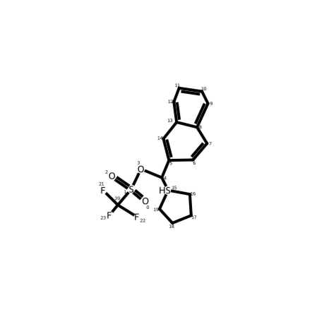 O=S(=O)(OC(c1ccc2ccccc2c1)[SH]1CCCC1)C(F)(F)F